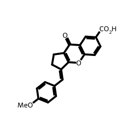 COc1ccc(C=C2CCc3c2oc2ccc(C(=O)O)cc2c3=O)cc1